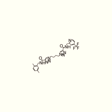 Cc1ccc(C)c(CNC(=O)c2cn(CCCCn3cc(C(=O)NCc4cc(C(F)(F)F)ccn4)nn3)nn2)c1